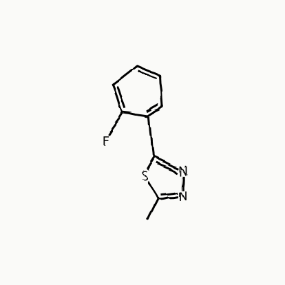 Cc1nnc(-c2ccccc2F)s1